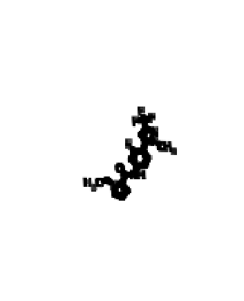 CCn1cccc1C(=O)Nc1ccc(-c2cc(C(F)(F)F)nn2C)c(F)c1